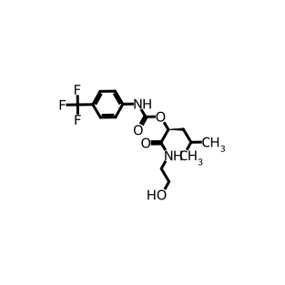 CC(C)C[C@H](OC(=O)Nc1ccc(C(F)(F)F)cc1)C(=O)NCCO